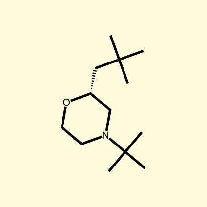 CC(C)(C)C[C@@H]1CN(C(C)(C)C)CCO1